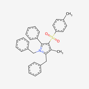 Cc1ccc(S(=O)(=O)c2c(C)c(Cc3ccccc3)n(Cc3ccccc3)c2-c2ccccc2)cc1